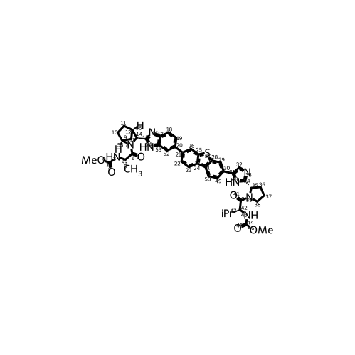 COC(=O)N[C@@H](C)C(=O)N1[C@@H]2CC[C@@H](C2)[C@H]1c1nc2ccc(-c3ccc4c(c3)sc3cc(-c5cnc([C@@H]6CCCN6C(=O)[C@@H](NC(=O)OC)C(C)C)[nH]5)ccc34)cc2[nH]1